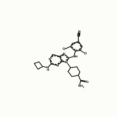 N#Cc1cc(Cl)c(Nc2nc3cnc(NC4CCC4)nc3n2C2CCC(C(N)=O)CC2)c(Cl)c1